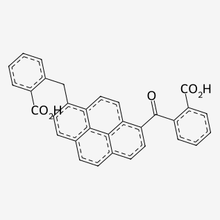 O=C(O)c1ccccc1Cc1ccc2ccc3ccc(C(=O)c4ccccc4C(=O)O)c4ccc1c2c34